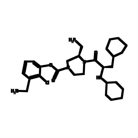 NCc1cccc(OC(=O)N2CCN(C(=O)[C@@H](CC3CCCCC3)NC3CCCCC3)[C@H](CP)C2)c1Cl